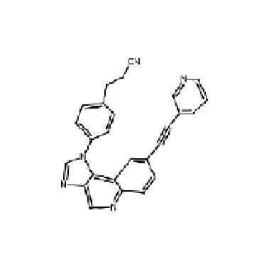 N#CCCc1ccc(-n2cnc3cnc4ccc(C#Cc5cccnc5)cc4c32)cc1